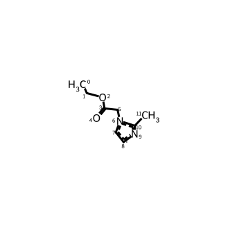 CCOC(=O)Cn1c[c]nc1C